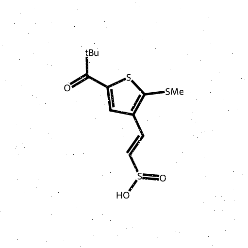 CSc1sc(C(=O)C(C)(C)C)cc1/C=C/S(=O)O